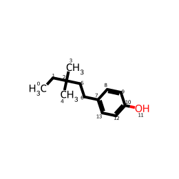 CCC(C)(C)CCc1ccc(O)cc1